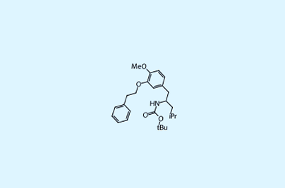 COc1ccc(CC(CC(C)C)NC(=O)OC(C)(C)C)cc1OCCc1ccccc1